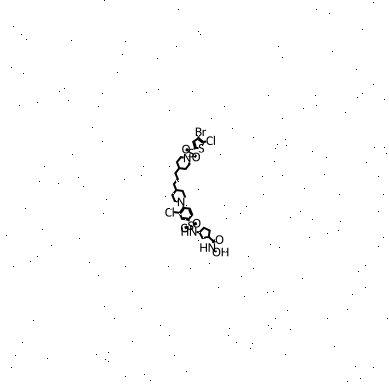 O=C(NO)C1CCC(NS(=O)(=O)c2ccc(N3CCC(CCCC4CCN(S(=O)(=O)c5cc(Br)c(Cl)s5)CC4)CC3)c(Cl)c2)C1